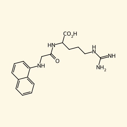 N=C(N)NCCCC(NC(=O)CNc1cccc2ccccc12)C(=O)O